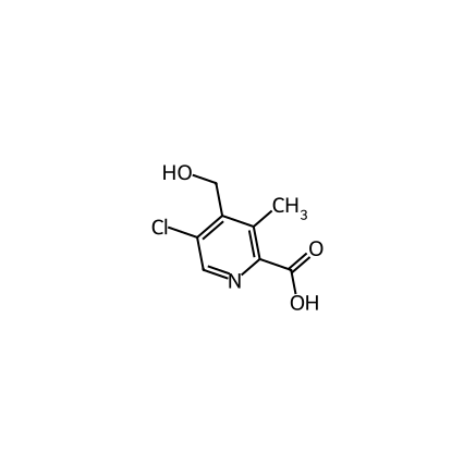 Cc1c(C(=O)O)ncc(Cl)c1CO